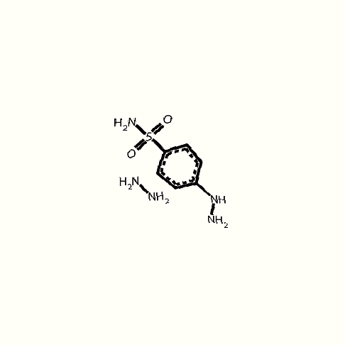 NN.NNc1ccc(S(N)(=O)=O)cc1